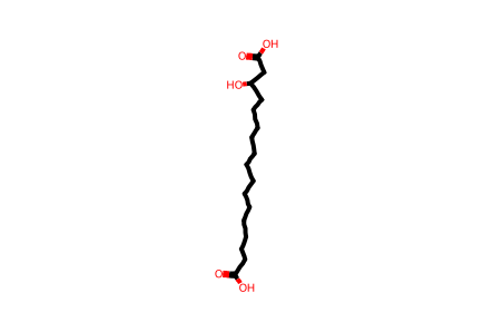 O=C(O)CCCCCCCCCCCCCC(O)CC(=O)O